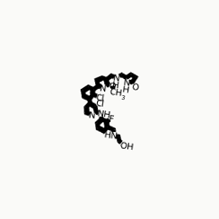 COc1nc(-c2cccc(-c3ccnc(Nc4cccc(CNCCO)c4F)c3Cl)c2Cl)ccc1CNCC1CCC(=O)N1